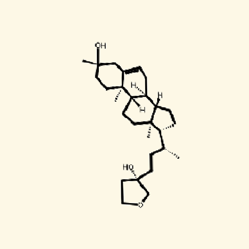 C[C@H](CC[C@]1(O)CCOC1)[C@H]1CC[C@H]2[C@@H]3CC=C4C[C@@](C)(O)CC[C@]4(C)[C@H]3CC[C@]12C